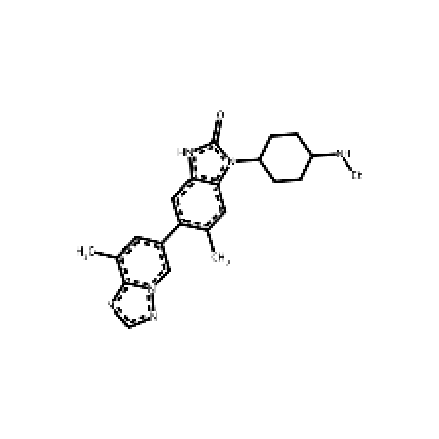 CCNC1CCC(n2c(=O)[nH]c3cc(-c4cc(C)c5ncnn5c4)c(C)cc32)CC1